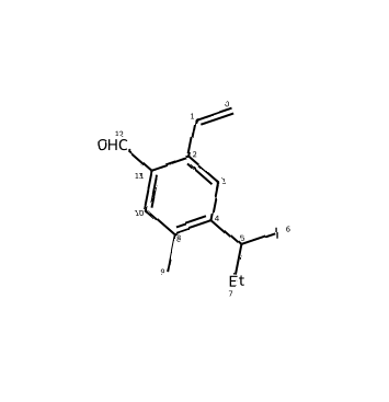 C=Cc1cc(C(I)CC)c(C)cc1C=O